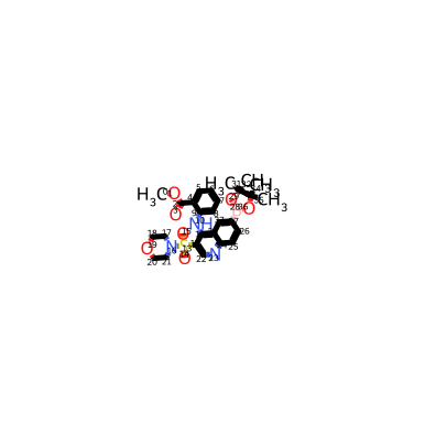 COC(=O)c1ccccc1Nc1c(S(=O)(=O)N2CCOCC2)cnc2ccc(B3OC(C)(C)C(C)(C)O3)cc12